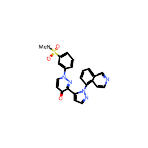 CNS(=O)(=O)c1cccc(-n2ccc(=O)c(-c3ccnn3-c3cccc4cnccc34)n2)c1